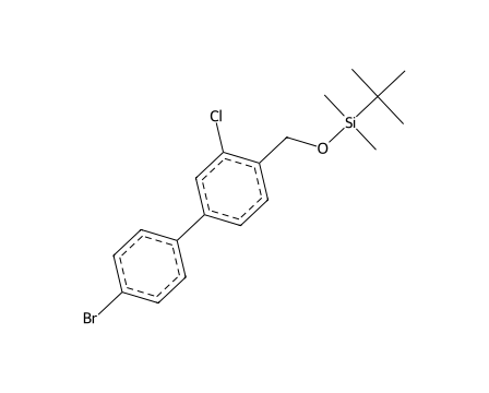 CC(C)(C)[Si](C)(C)OCc1ccc(-c2ccc(Br)cc2)cc1Cl